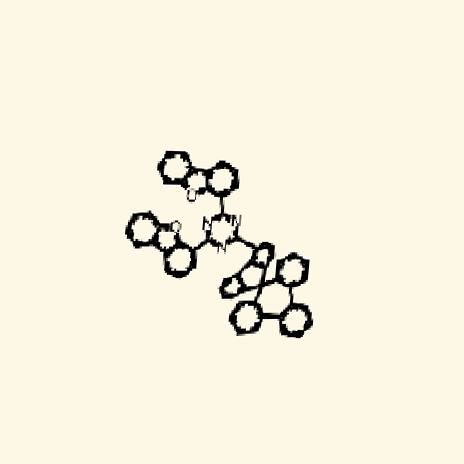 c1ccc2c(c1)-c1ccccc1C1(c3ccccc3-2)c2ccccc2-c2c(-c3nc(-c4cccc5c4oc4ccccc45)nc(-c4cccc5c4oc4ccccc45)n3)cccc21